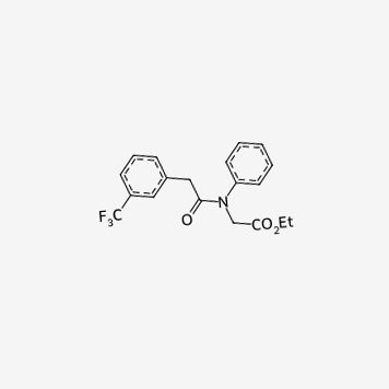 CCOC(=O)CN(C(=O)Cc1cccc(C(F)(F)F)c1)c1ccccc1